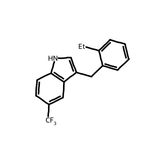 CCc1ccccc1Cc1c[nH]c2ccc(C(F)(F)F)cc12